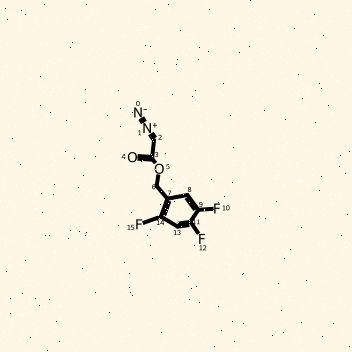 [N-]=[N+]=CC(=O)OCc1cc(F)c(F)cc1F